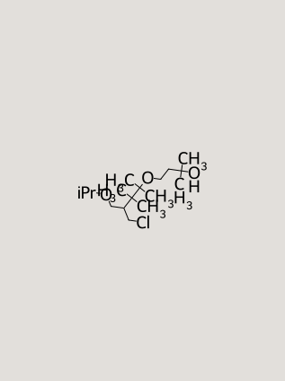 CC(C)OCC(CCl)C(C)(C)C(C)(C)OCCC(C)(C)O